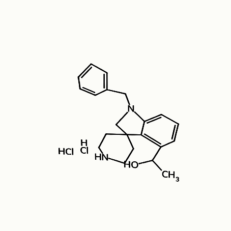 CC(O)c1cccc2c1C1(CCNCC1)CN2Cc1ccccc1.Cl.Cl